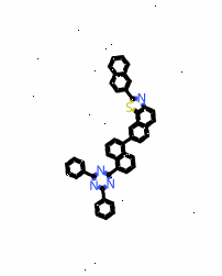 c1ccc(-c2nc(-c3ccccc3)nc(-c3cccc4c(-c5ccc6ccc7nc(-c8ccc9ccccc9c8)sc7c6c5)cccc34)n2)cc1